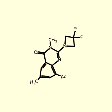 CC(=O)c1cc(C)cc2c(=O)n(C)c(N3CC(F)(F)C3)nc12